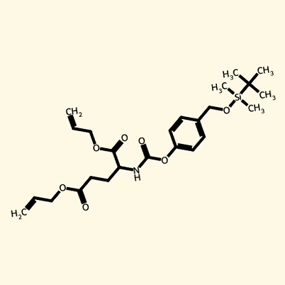 C=CCOC(=O)CCC(NC(=O)Oc1ccc(CO[Si](C)(C)C(C)(C)C)cc1)C(=O)OCC=C